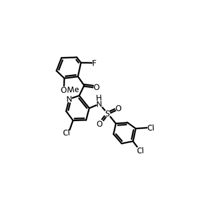 COc1cccc(F)c1C(=O)c1ncc(Cl)cc1NS(=O)(=O)c1ccc(Cl)c(Cl)c1